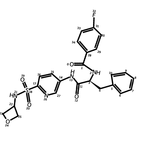 O=C(N[C@@H](Cc1ccccc1)C(=O)Nc1ccc(S(=O)(=O)NC2COC2)nc1)c1ccc(F)cc1